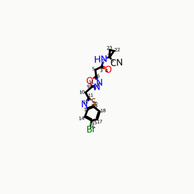 N#CC1(NC(=O)Cc2nnc(Cc3nc4cc(Br)ccc4s3)o2)CC1